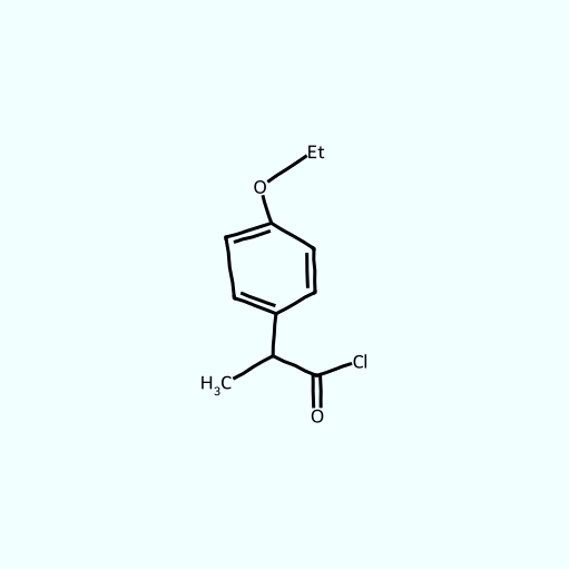 CCOc1ccc(C(C)C(=O)Cl)cc1